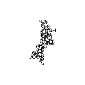 CCOC(=O)Oc1cc2occ(C(=O)NC(C(=O)N[C@]3(OC)C(=O)N4C(C(=O)O)=C(COC(C)=O)CS[C@H]43)c3ccccc3)c(=O)c2cc1OC(=O)OCC